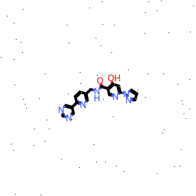 O=C(NCc1ccc(-c2cncnc2)nc1)c1cnc(-n2cccn2)cc1O